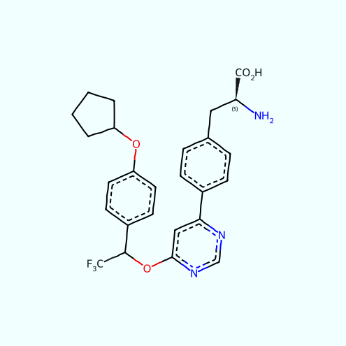 N[C@@H](Cc1ccc(-c2cc(OC(c3ccc(OC4CCCC4)cc3)C(F)(F)F)ncn2)cc1)C(=O)O